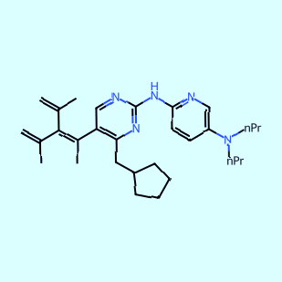 C=C(C)C(C(=C)C)=C(C)c1cnc(Nc2ccc(N(CCC)CCC)cn2)nc1CC1CCCC1